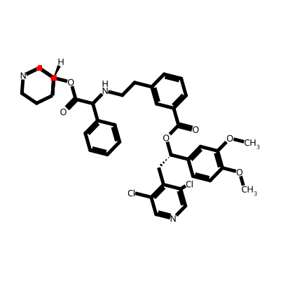 COc1ccc([C@H](Cc2c(Cl)cncc2Cl)OC(=O)c2cccc(CCNC(C(=O)O[C@H]3CN4CCC3CC4)c3ccccc3)c2)cc1OC